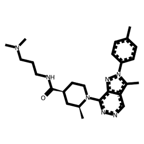 Cc1ccc(-n2nc3c(N4CC[C@H](C(=O)NCCCN(C)C)C[C@@H]4C)nncc3c2C)cc1